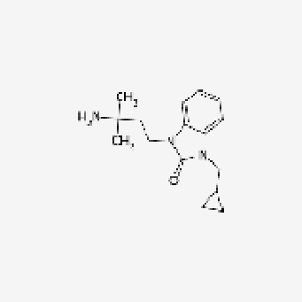 CC(C)(N)CCn1c(=O)n(CC2CC2)c2ccccc21